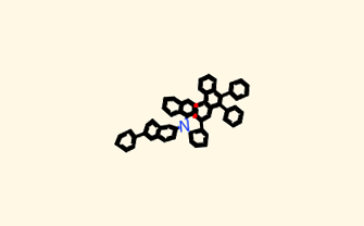 c1ccc(-c2ccc3cc(N(c4ccccc4-c4ccc5c(c4)c(-c4ccccc4)c(-c4ccccc4)c4ccccc45)c4cccc5ccccc45)ccc3c2)cc1